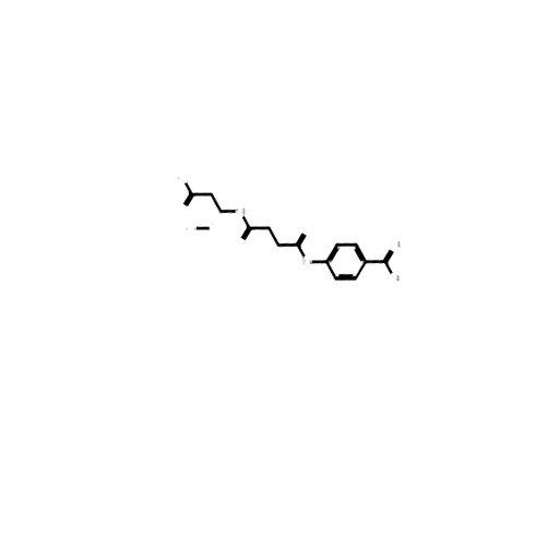 N=C(N)c1ccc(NC(=O)CCC(=O)N[C@H](CO)CC(=O)O)cc1